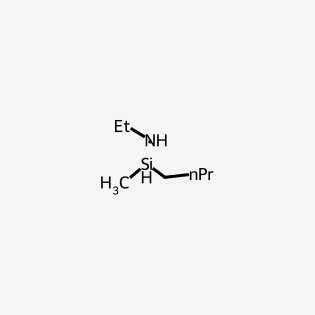 CCCC[SiH](C)NCC